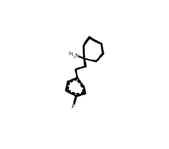 NC1(CCc2ccc(F)cc2)CCCCC1